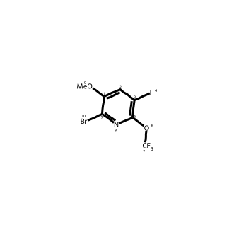 COc1cc(I)c(OC(F)(F)F)nc1Br